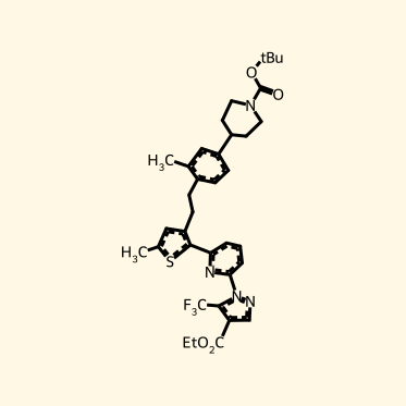 CCOC(=O)c1cnn(-c2cccc(-c3sc(C)cc3CCc3ccc(C4CCN(C(=O)OC(C)(C)C)CC4)cc3C)n2)c1C(F)(F)F